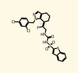 O=C(NC/C(F)=C1\CCCc2cnn(Cc3ccc(Cl)cc3Cl)c21)NS(=O)(=O)c1cc2ccccc2s1